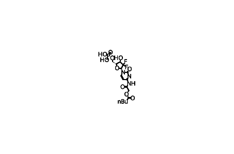 CCCCC(=O)OCC(=O)Nc1ccn([C@@H]2O[C@H](COP(=O)(O)O)[C@@H](O)C2(F)F)c(=O)n1